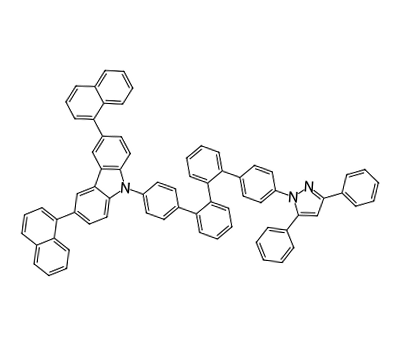 c1ccc(-c2cc(-c3ccccc3)n(-c3ccc(-c4ccccc4-c4ccccc4-c4ccc(-n5c6ccc(-c7cccc8ccccc78)cc6c6cc(-c7cccc8ccccc78)ccc65)cc4)cc3)n2)cc1